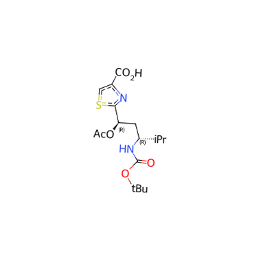 CC(=O)O[C@H](C[C@@H](NC(=O)OC(C)(C)C)C(C)C)c1nc(C(=O)O)cs1